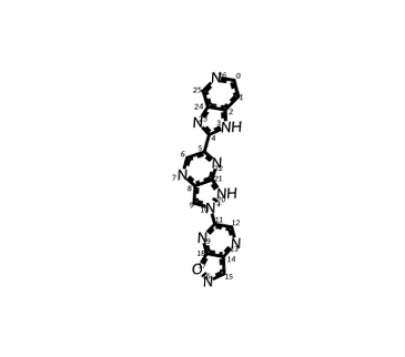 c1cc2[nH]c(-c3cnc4c[n+](-c5cnc6cnoc6n5)[nH]c4n3)nc2cn1